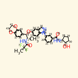 C[C@H](NC(=O)C(C)(F)F)[C@H](Oc1ccc2c(cnn2-c2cccc(C(=O)NC3CCC[C@@H]3O)c2)c1)c1ccc2c(c1)OCCO2